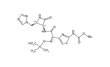 CC(C)(C)OC(=O)Nc1nc(/C(=N/OC(C)(C)C(=O)O)C(=O)N[C@@H]2C(=O)N[C@@H]2Cn2cncn2)cs1